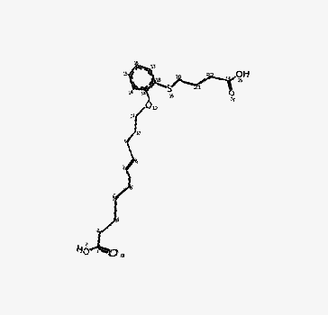 O=C(O)CCCCCCCCCOc1ccccc1SCCCC(=O)O